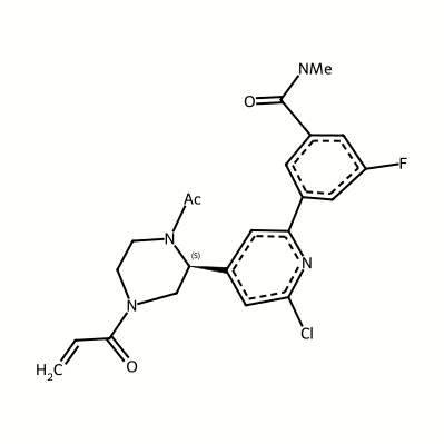 C=CC(=O)N1CCN(C(C)=O)[C@@H](c2cc(Cl)nc(-c3cc(F)cc(C(=O)NC)c3)c2)C1